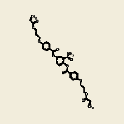 C=CC(=O)OCCCOc1ccc(C(=O)Oc2ccc(OC(=O)c3ccc(OCCCOC(=O)C=C)cc3)c(C(N)=O)c2)cc1